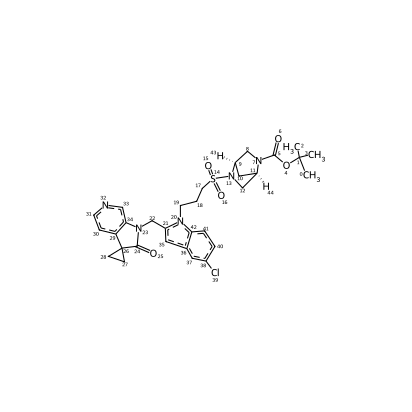 CC(C)(C)OC(=O)N1C[C@H]2C[C@@H]1CN2S(=O)(=O)CCCn1c(CN2C(=O)C3(CC3)c3ccncc32)cc2cc(Cl)ccc21